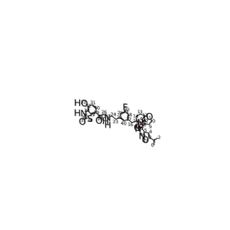 CC(C)c1cc(C(=O)C23CCOC4(CCC(Cc5cc(F)cc(CCNC[C@H](O)c6ccc(O)c7[nH]c(=O)sc67)c5)(CC4)[N+]2=[N-])C3)no1